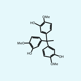 COc1ccc(C(C)(c2ccc(OC)c(O)c2)c2ccc(OC)c(O)c2)cc1O